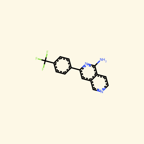 Nc1nc(-c2ccc(C(F)(F)F)cc2)cc2cnccc12